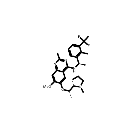 COc1cc2nc(C)nc(N[C@H](C)c3cccc(C(C)(F)F)c3C)c2cc1O[C@@H](C)[C@@H]1CCCN1C